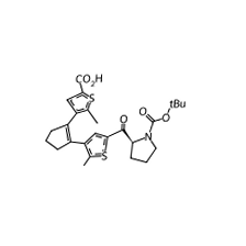 Cc1sc(C(=O)O)cc1C1=C(c2cc(C(=O)[C@@H]3CCCN3C(=O)OC(C)(C)C)sc2C)CCC1